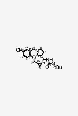 CC(C)(C)OC(=O)NC[C@@H]1CCN(Cc2cc(Cl)ccc2OCC2CC2)C1